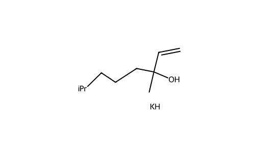 C=CC(C)(O)CCCC(C)C.[KH]